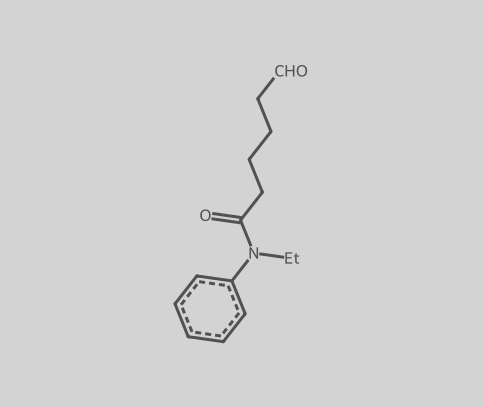 CCN(C(=O)CCCCC=O)c1ccccc1